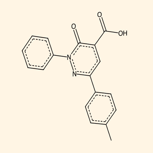 Cc1ccc(-c2cc(C(=O)O)c(=O)n(-c3ccccc3)n2)cc1